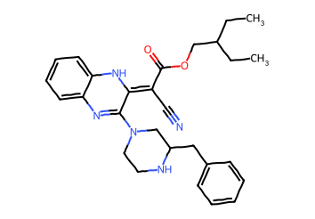 CCC(CC)COC(=O)C(C#N)=C1Nc2ccccc2N=C1N1CCNC(Cc2ccccc2)C1